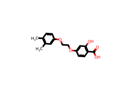 Cc1ccc(OCCOc2ccc(C(=O)O)c(O)c2)cc1C